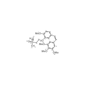 COc1ccc(/C=C\c2cc(OC)c(OC)c(OC)c2)cc1OCC[SH](C)(C)=O